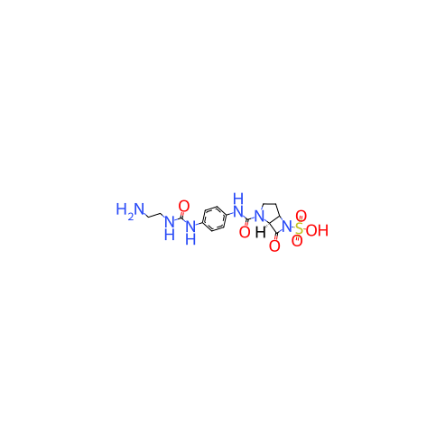 NCCNC(=O)Nc1ccc(NC(=O)N2CCC3[C@H]2C(=O)N3S(=O)(=O)O)cc1